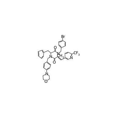 CN(Cc1ccc(Br)cc1)C(=O)C(Cc1ccccc1)N(Cc1ccc(N2CCOCC2)cc1)C(=O)C=Cc1ccc(C(F)(F)F)nc1